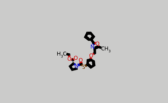 CCOC(=O)[C@H]1CCCN1C(=O)Sc1cccc(OCc2nc(-c3ccccc3)oc2C)c1